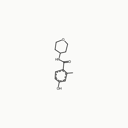 Cc1cc(O)ccc1C(=O)NC1CCOCC1